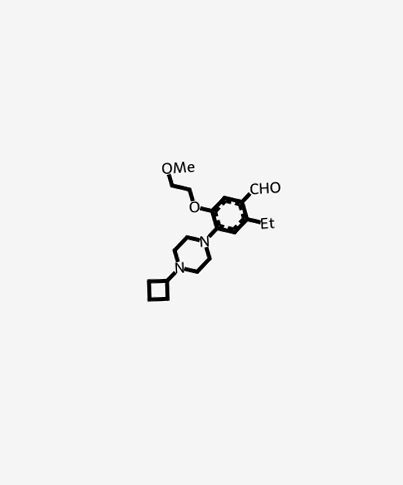 CCc1cc(N2CCN(C3CCC3)CC2)c(OCCOC)cc1C=O